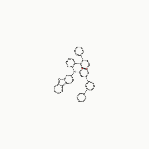 c1ccc(-c2cccc(-c3cccc(N(c4ccc5c(c4)oc4ccccc45)c4ccccc4-c4ccccc4-c4ccccc4)c3)c2)cc1